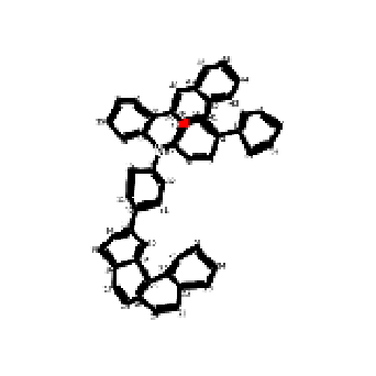 c1ccc(-c2ccc(N(c3ccc(-c4ccc5ccc6ccc7ccccc7c6c5c4)cc3)c3ccccc3-c3ccc4ccccc4c3)cc2)cc1